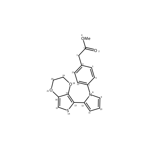 COC(=O)Cc1ccc(-n2cccc2-c2scc3c2OCCO3)cc1